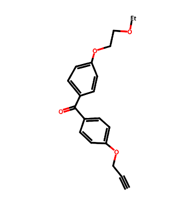 C#CCOc1ccc(C(=O)c2ccc(OCCOCC)cc2)cc1